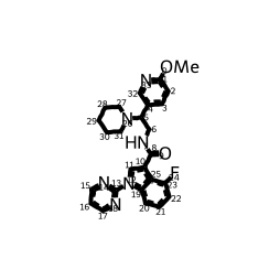 COc1ccc(C(CNC(=O)c2cn(-c3ncccn3)c3cccc(F)c23)N2CCCCC2)cn1